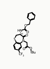 CC(C)(C)OC(=O)CN1C(=O)[C@@H](NC(=O)OCc2ccccc2)CSc2ccc(C(F)(F)F)cc21